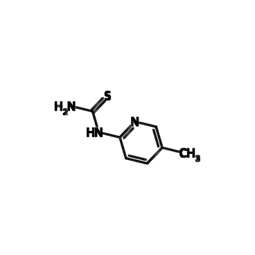 Cc1ccc(NC(N)=S)nc1